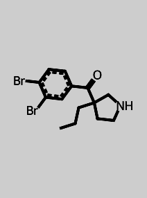 CCCC1(C(=O)c2ccc(Br)c(Br)c2)CCNC1